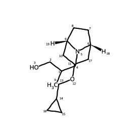 CC(CO)CN1[C@@H]2CC[C@H]1CC(OCC1CC1)C2